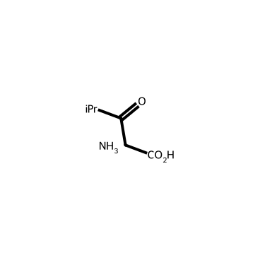 CC(C)C(=O)CC(=O)O.N